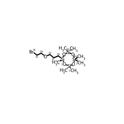 C[Si]1(C)O[Si](C)(C)O[Si](C)(CCCOCCBr)O[Si](C)(C)O1